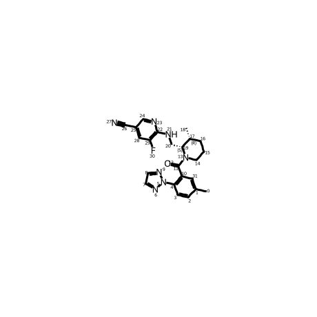 Cc1ccc(-n2nccn2)c(C(=O)N2CCC[C@@H](C)[C@H]2CNc2ncc(C#N)cc2F)c1